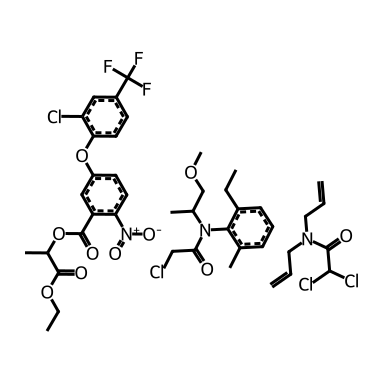 C=CCN(CC=C)C(=O)C(Cl)Cl.CCOC(=O)C(C)OC(=O)c1cc(Oc2ccc(C(F)(F)F)cc2Cl)ccc1[N+](=O)[O-].CCc1cccc(C)c1N(C(=O)CCl)C(C)COC